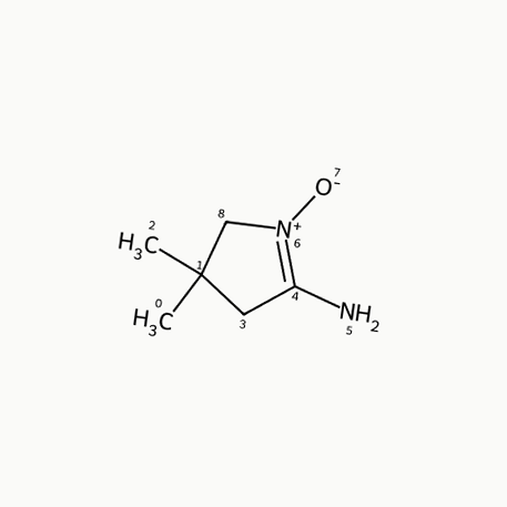 CC1(C)CC(N)=[N+]([O-])C1